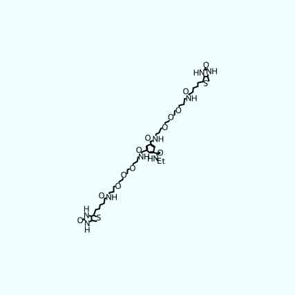 CCNC(=O)c1cc(C(=O)NCCCOCCOCCOCCCNC(=O)CCCCC2SCC3NC(=O)NC32)cc(C(=O)NCCCOCCOCCOCCCNC(=O)CCCCC2SCC3NC(=O)NC32)c1